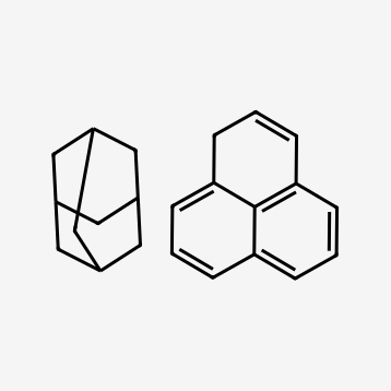 C1=Cc2cccc3cccc(c23)C1.C1C2CC3CC1CC(C2)C3